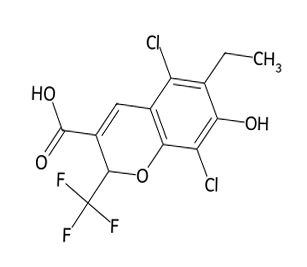 CCc1c(O)c(Cl)c2c(c1Cl)C=C(C(=O)O)C(C(F)(F)F)O2